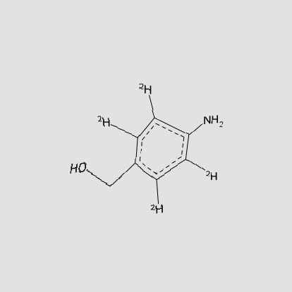 [2H]c1c([2H])c(CO)c([2H])c([2H])c1N